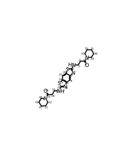 O=C(CCNc1nc2cc3nc(NCCC(=O)N4CCCCC4)sc3cc2s1)N1CCCCC1